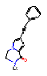 CCN1CCn2cc(C#Cc3ccccc3)cc2C1=O